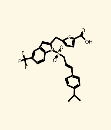 CC(C)c1ccc(C=CCS(=O)(=O)n2c(Cc3ccc(C(=O)O)s3)cc3cc(C(F)(F)F)ccc32)cc1